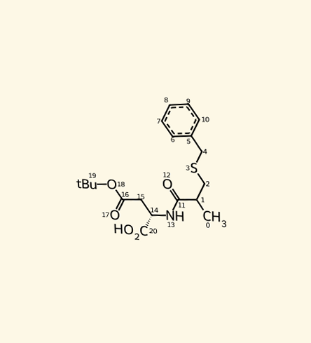 CC(CSCc1ccccc1)C(=O)N[C@@H](CC(=O)OC(C)(C)C)C(=O)O